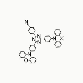 CC1(C)c2ccccc2N(c2ccc(-c3nc(-c4ccc(C#N)cc4)nc(-c4ccc(N5c6ccccc6Oc6ccccc65)cc4)n3)cc2)c2ccccc21